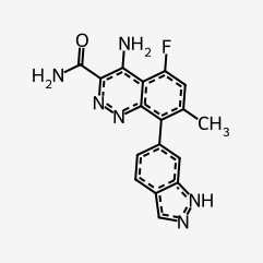 Cc1cc(F)c2c(N)c(C(N)=O)nnc2c1-c1ccc2cn[nH]c2c1